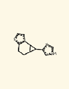 c1nc(C2C3CCc4sccc4C32)c[nH]1